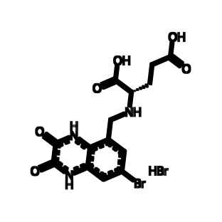 Br.O=C(O)CC[C@H](NCc1cc(Br)cc2[nH]c(=O)c(=O)[nH]c12)C(=O)O